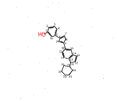 Oc1cccc(C2=CCC(c3ccc4c(c3)C=CC4C3CCCCC3)=C2)c1